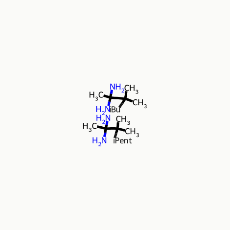 CCC(C)C(C)(C)C(C)(N)N.CCCC(C)C(C)(C)C(C)(N)N